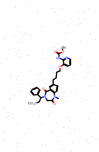 CCOC(=O)CC(c1ccccc1)N1CC(=O)N(C)c2ccc(CCCCOc3cccnc3NC(=O)OC(C)(C)C)cc2C1=O